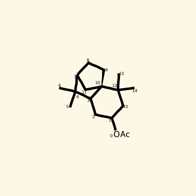 CC(=O)OC1CC2C(C)(C)C3CC[C@@]2(C3)C(C)(C)C1